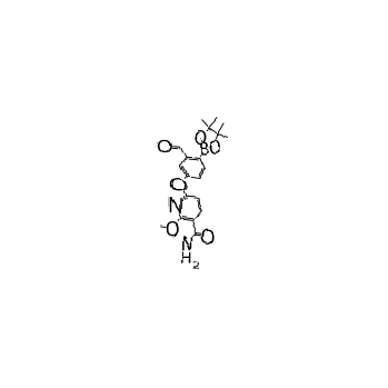 COc1nc(Oc2ccc(B3OC(C)(C)C(C)(C)O3)c(C=O)c2)ccc1C(N)=O